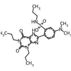 CCCNS(=O)(=O)c1cc(N(C)C)ccc1-c1nc2c([nH]1)c(=O)n(CCC)c(=O)n2CCC